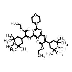 CCOC(=O)C(=Nc1nc(N=C(C(=O)OCC)C2CC(C)(C)N(O)C(C)(C)C2)nc(N2CCOCC2)n1)C1CC(C)(C)N(O)C(C)(C)C1